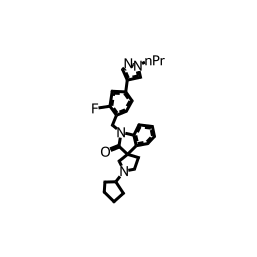 CCCn1cc(-c2ccc(CN3C(=O)C4(CCN(C5CCCC5)C4)c4ccccc43)c(F)c2)cn1